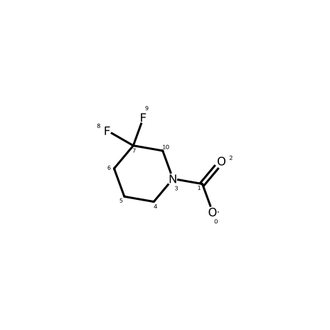 [O]C(=O)N1CCCC(F)(F)C1